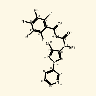 CCN(C(=O)NC(=O)c1c(F)c(F)c(F)c(F)c1F)c1cn(-c2cccnc2)nc1Cl